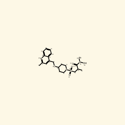 Cc1cc(COC2CCN(S(=O)(=O)CC(C)C(=O)N(O)C(C)C)CC2)c2ccccc2n1